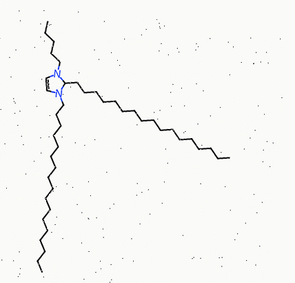 CCCCCCCCCCCCCCCCCC1N(CCCCC)C=CN1CCCCCCCCCCCCCCCCC